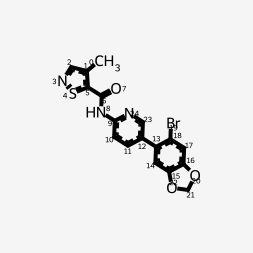 Cc1cnsc1C(=O)Nc1ccc(-c2cc3c(cc2Br)OCO3)cn1